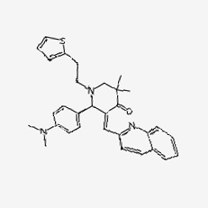 CN(C)c1ccc(C2C(=Cc3ccc4ccccc4n3)C(=O)C(C)(C)CN2CCc2cccs2)cc1